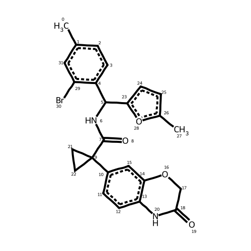 Cc1ccc(C(NC(=O)C2(c3ccc4c(c3)OCC(=O)N4)CC2)c2ccc(C)o2)c(Br)c1